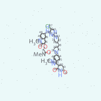 CNC(=O)COc1cc2cc(Nc3nc(N4CCC(CC5CCN(c6ccc7c(C8CCC(=O)NC8=O)nn(C)c7c6)C5)CC4)ncc3Cl)ccc2n(C)c1=O